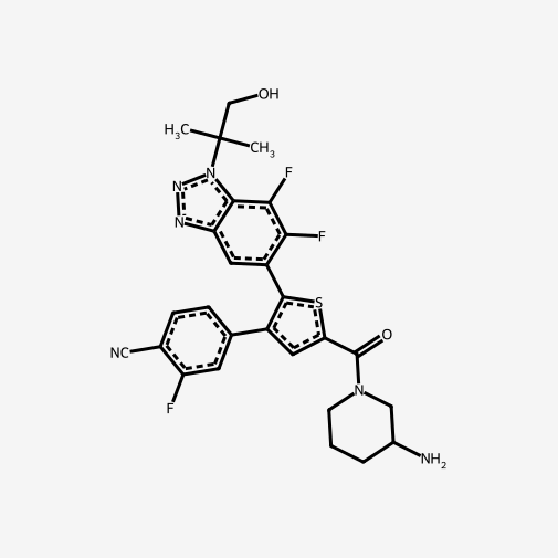 CC(C)(CO)n1nnc2cc(-c3sc(C(=O)N4CCCC(N)C4)cc3-c3ccc(C#N)c(F)c3)c(F)c(F)c21